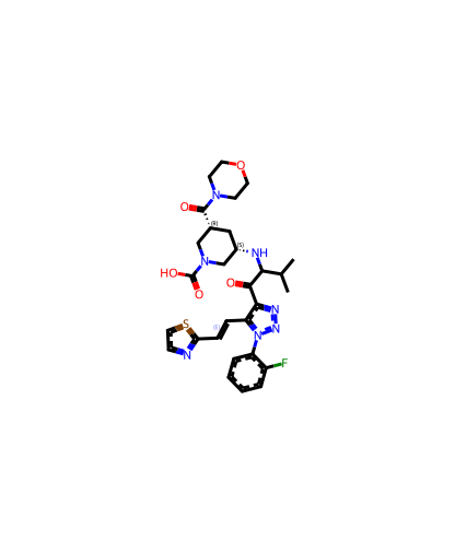 CC(C)C(N[C@H]1C[C@@H](C(=O)N2CCOCC2)CN(C(=O)O)C1)C(=O)c1nnn(-c2ccccc2F)c1/C=C/c1nccs1